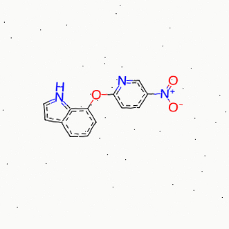 O=[N+]([O-])c1ccc(Oc2cccc3cc[nH]c23)nc1